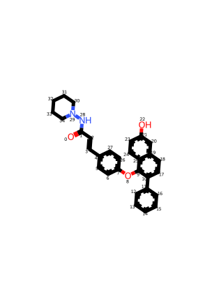 O=C(C=Cc1ccc(Oc2c(-c3ccccc3)ccc3cc(O)ccc23)cc1)NN1CCCCC1